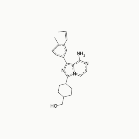 C/C=C\c1cc(-c2nc(C3CCC(CO)CC3)n3ccnc(N)c23)ccc1C